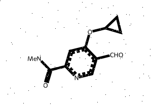 CNC(=O)c1cc(OC2CC2)c(C=O)cn1